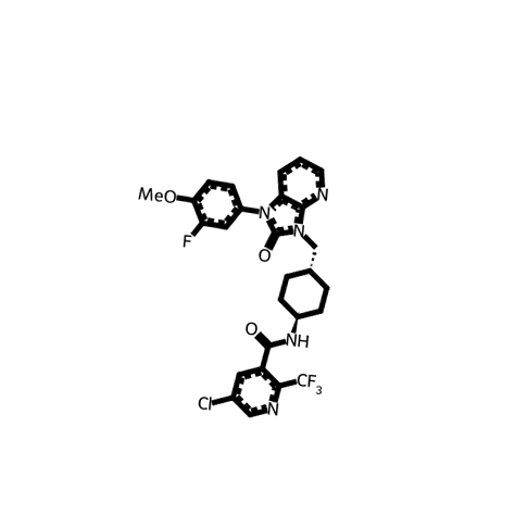 COc1ccc(-n2c(=O)n(C[C@H]3CC[C@H](NC(=O)c4cc(Cl)cnc4C(F)(F)F)CC3)c3ncccc32)cc1F